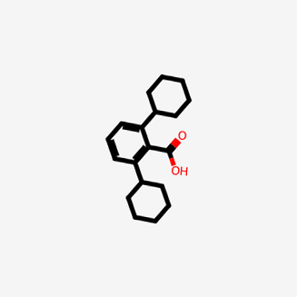 O=C(O)c1c(C2CCCCC2)cccc1C1CCCCC1